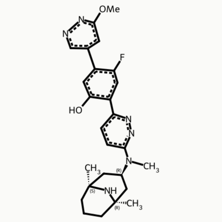 COc1cc(-c2cc(O)c(-c3ccc(N(C)[C@@H]4C[C@]5(C)CCC[C@](C)(C4)N5)nn3)cc2F)cnn1